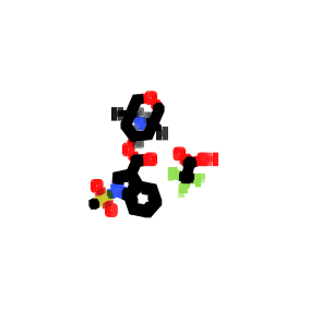 CN1[C@@H]2COC[C@H]1C[C@@H](OC(=O)c1cn(S(C)(=O)=O)c3ccccc13)C2.O=C(O)C(F)(F)F